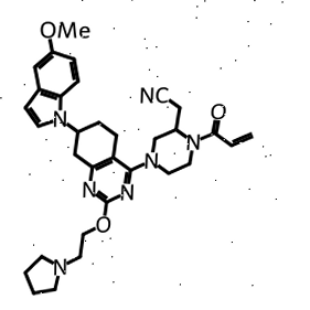 C=CC(=O)N1CCN(c2nc(OCCN3CCCC3)nc3c2CCC(n2ccc4cc(OC)ccc42)C3)CC1CC#N